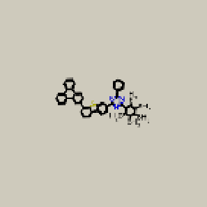 Bc1c(B)c(B)c(-c2nc(-c3ccccc3)nc(-c3ccc4c(c3)sc3c(-c5ccc6c7ccccc7c7ccccc7c6c5)cccc34)n2)c(B)c1B